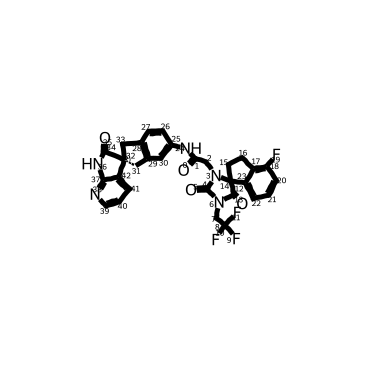 O=C(CN1C(=O)N(CC(F)(F)F)C(=O)C12CCc1c(F)cccc12)Nc1ccc2c(c1)C[C@@]1(C2)C(=O)Nc2ncccc21